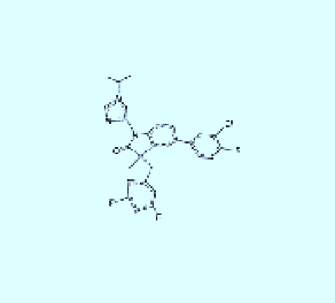 CC(C)n1cnc(N2C(=O)C(C)(Cc3cc(F)cc(F)c3)c3cc(-c4ccc(F)c(Cl)c4)ccc32)c1